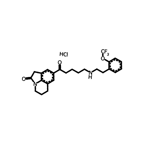 Cl.O=C(CCCCNCCc1ccccc1OC(F)(F)F)c1cc2c3c(c1)CC(=O)N3CCC2